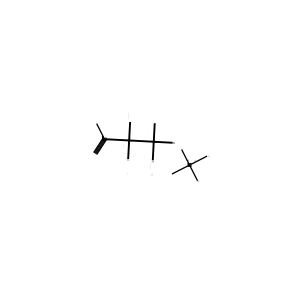 O=C(O)C(F)(F)C(F)(F)OC(F)(F)F